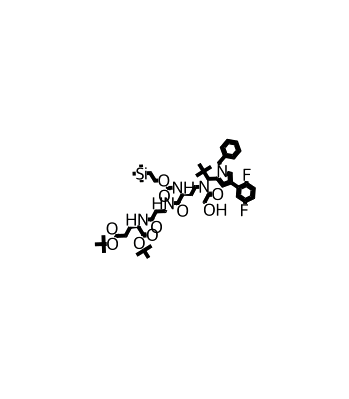 CC(C)(C)OC(=O)CC[C@@H](NC(=O)CCNC(=O)[C@H](CCN(C(=O)CO)[C@@H](c1cc(-c2cc(F)ccc2F)cn1Cc1ccccc1)C(C)(C)C)NC(=O)OCC[Si](C)(C)C)C(=O)OC(C)(C)C